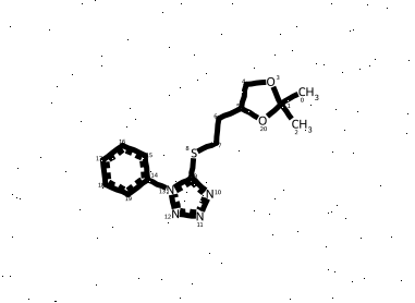 CC1(C)OCC(CCSc2nnnn2-c2ccccc2)O1